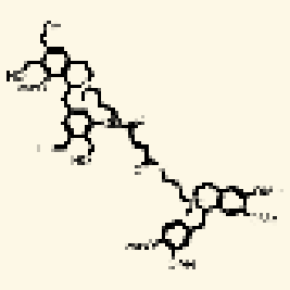 COc1ccc(CC2c3cc(OC)c(OC)cc3CC[N+]2(C)CCCOC(=O)/C=C/C(=O)OCCC[N+]2(C)CCc3cc(CO)c(CO)c(OC)c3C2Cc2cc(CO)c(CO)c(OC)c2)cc1OC